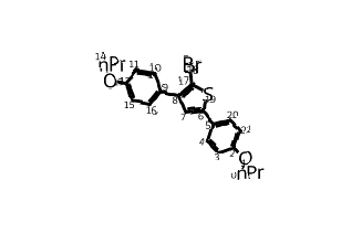 CCCOc1ccc(-c2cc(-c3ccc(OCCC)cc3)c(Br)s2)cc1